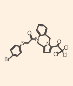 O=C(CSc1ccc(Br)cc1)N1Cc2ccc(C(=O)C(Cl)(Cl)Cl)n2Cc2ccccc21